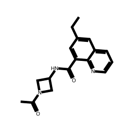 CCc1cc(C(=O)NC2CN(C(C)=O)C2)c2ncccc2c1